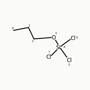 CCCO[Si](Cl)(Cl)Cl